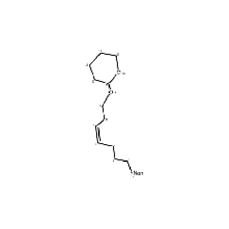 CCCCCCCCCCCC/C=C\CCOC1CCCCO1